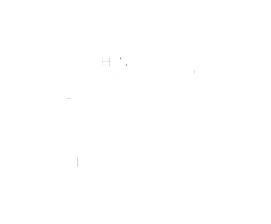 NC1=C(C(F)F)CC=C1Cl